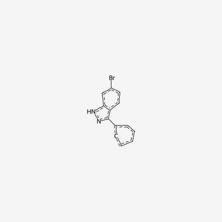 Brc1ccc2c(-c3ccccc3)n[nH]c2c1